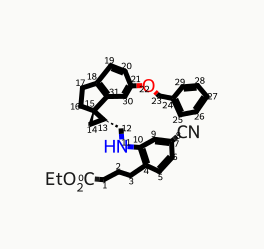 CCOC(=O)CCCc1ccc(C#N)cc1NC[C@@H]1C[C@]12CCc1ccc(OCc3ccccc3)cc12